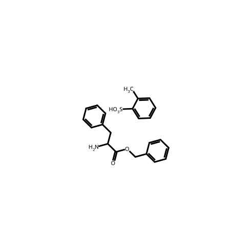 Cc1ccccc1S(=O)(=O)O.NC(Cc1ccccc1)C(=O)OCc1ccccc1